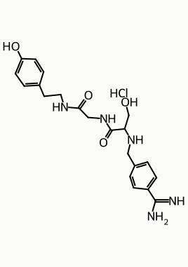 Cl.N=C(N)c1ccc(CNC(CO)C(=O)NCC(=O)NCCc2ccc(O)cc2)cc1